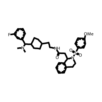 COc1ccc(S(=O)(=O)N2CCc3ccccc3C2CC(=O)NCCC2CCC(C(c3cccc(F)c3)N(C)C)CC2)cc1